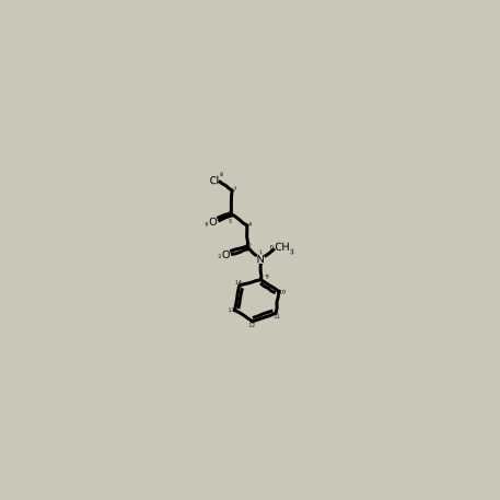 CN(C(=O)CC(=O)CCl)c1ccccc1